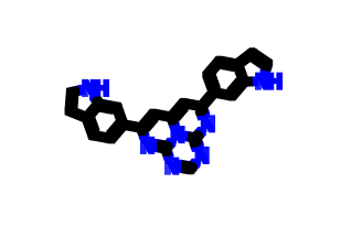 C1=NC2=NC(c3ccc4cc[nH]c4c3)=CC3=CC(c4ccc5cc[nH]c5c4)=NC(=N1)N32